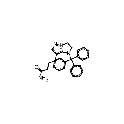 NC(=O)CCCc1cnn2c1N(C(c1ccccc1)(c1ccccc1)c1ccccc1)CC2